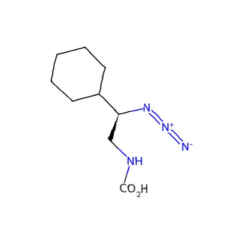 [N-]=[N+]=N[C@@H](CNC(=O)O)C1CCCCC1